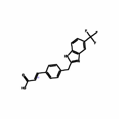 O=C(O)/C=C/c1ccc(Cc2nc3cc(C(F)(F)F)ccc3[nH]2)cc1